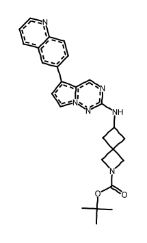 CC(C)(C)OC(=O)N1CC2(CC(Nc3ncc4c(-c5ccc6ncccc6c5)ccn4n3)C2)C1